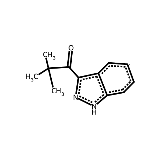 CC(C)(C)C(=O)c1n[nH]c2cc[c]cc12